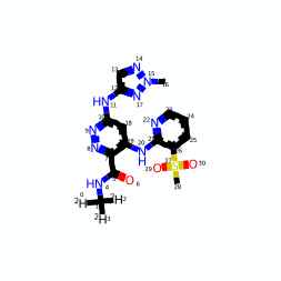 [2H]C([2H])([2H])NC(=O)c1nnc(Nc2cnn(C)n2)cc1Nc1ncccc1S(C)(=O)=O